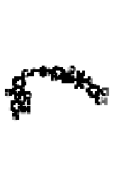 CC1(C)C(NC(=O)c2ccc(N3CC(CCOc4ccc5c(c4)C(=O)N(C4CCC(=O)NC4=O)C5=O)C3)nc2)C(C)(C)C1Oc1ccc(C#N)c(Cl)c1